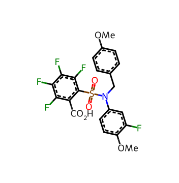 COc1ccc(CN(c2ccc(OC)c(F)c2)S(=O)(=O)c2c(F)c(F)c(F)c(F)c2C(=O)O)cc1